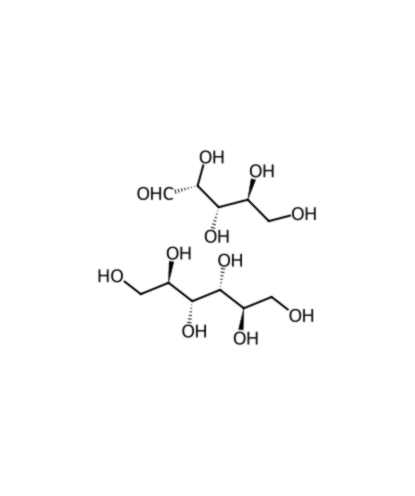 O=C[C@H](O)[C@@H](O)[C@@H](O)CO.OC[C@@H](O)[C@@H](O)[C@H](O)[C@H](O)CO